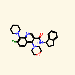 O=C(N[C@H]1CCc2ccccc21)c1cnc2c(N3CCCCC3)c(F)ccc2c1N1CCOCC1